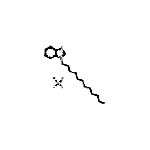 CCCCCCCCCCCC[n+]1csc2ccccc21.F[B-](F)(F)F